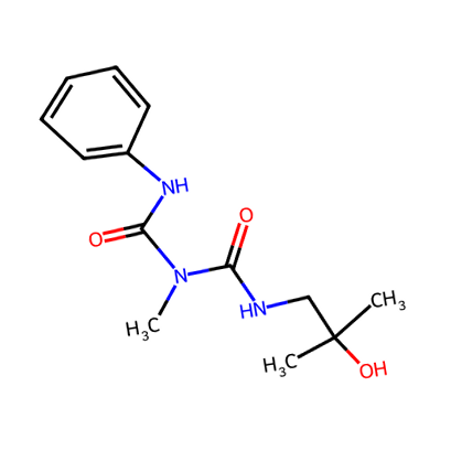 CN(C(=O)NCC(C)(C)O)C(=O)Nc1ccccc1